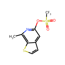 Cc1nc(OS(=O)(=O)C(F)(F)F)cc2ccsc12